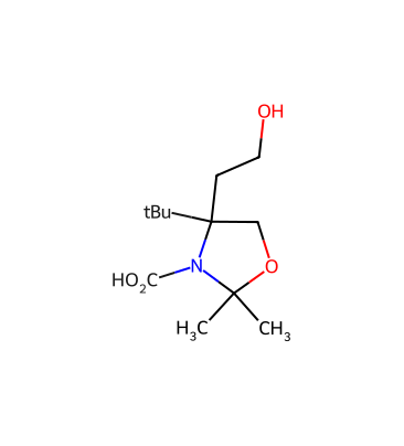 CC1(C)OCC(CCO)(C(C)(C)C)N1C(=O)O